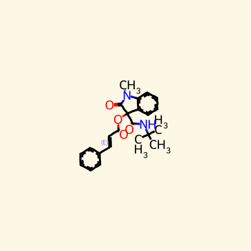 CN1C(=O)C(OC(=O)/C=C/c2ccccc2)(C(=O)NC(C)(C)C)c2ccccc21